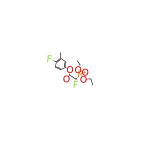 CCOP(=O)(OCC)C(F)C(=O)Oc1ccc(F)c(C)c1